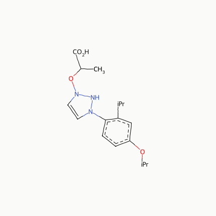 CC(C)Oc1ccc(N2C=CN(OC(C)C(=O)O)N2)c(C(C)C)c1